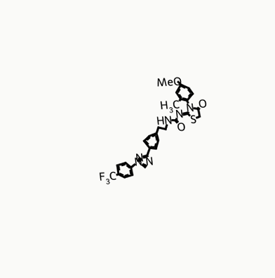 COc1ccc(N2C(=O)CS/C2=N\C(=O)NCCc2ccc(-c3ncn(-c4ccc(C(F)(F)F)cc4)n3)cc2)c(C)c1